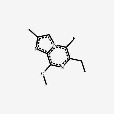 CCc1nc(OC)c2nc(C)cn2c1F